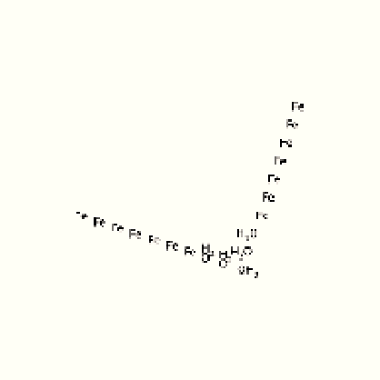 O.O.O.O.O.[Fe].[Fe].[Fe].[Fe].[Fe].[Fe].[Fe].[Fe].[Fe].[Fe].[Fe].[Fe].[Fe].[Fe]